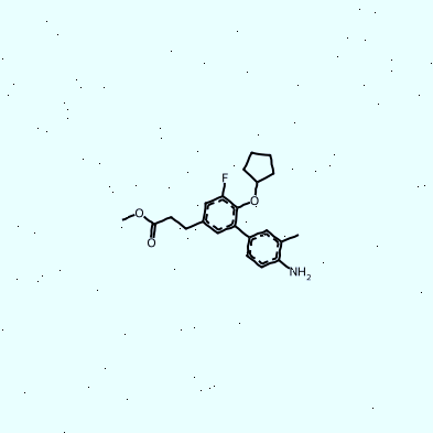 COC(=O)CCc1cc(F)c(OC2CCCC2)c(-c2ccc(N)c(C)c2)c1